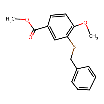 COC(=O)c1ccc(OC)c(SCc2ccccc2)c1